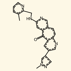 Cc1cccnc1CNc1cc2c(=O)c3cc(-c4cnn(C)c4)cnc3ccc2cn1